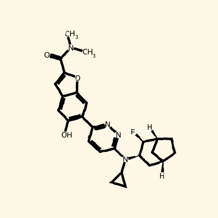 CN(C)C(=O)c1cc2cc(O)c(-c3ccc(N(C4CC4)[C@@H]4C[C@H]5CC[C@H](C5)[C@@H]4F)nn3)cc2o1